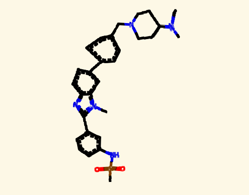 CN(C)C1CCN(Cc2ccc(-c3ccc4nc(-c5cccc(NS(C)(=O)=O)c5)n(C)c4c3)cc2)CC1